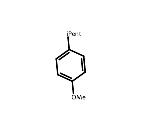 CCCC(C)c1ccc(OC)cc1